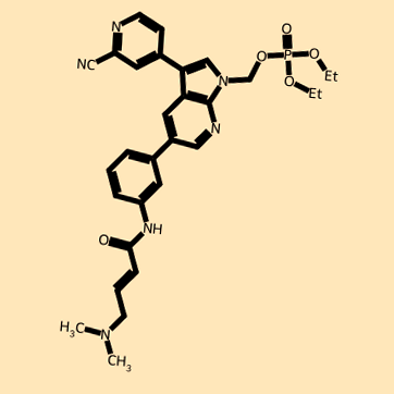 CCOP(=O)(OCC)OCn1cc(-c2ccnc(C#N)c2)c2cc(-c3cccc(NC(=O)C=CCN(C)C)c3)cnc21